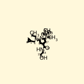 CCCN(CC1CC1)c1cc(C(=O)NCCO)cc(N(C)S(C)(=O)=O)n1